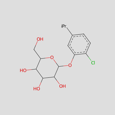 CC(C)c1ccc(Cl)c(OC2OC(CO)C(O)C(O)C2O)c1